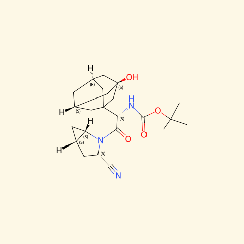 CC(C)(C)OC(=O)N[C@H](C(=O)N1[C@H](C#N)C[C@@H]2C[C@@H]21)C12C[C@H]3C[C@@H](C1)C[C@](O)(C3)C2